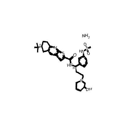 CC(C)(C)[C@H]1CCc2nc3sc(C(=O)N[C@H](CCN4CCCC(O)C4)c4cccc(NS(C)(=O)=O)c4)cc3cc2C1.N